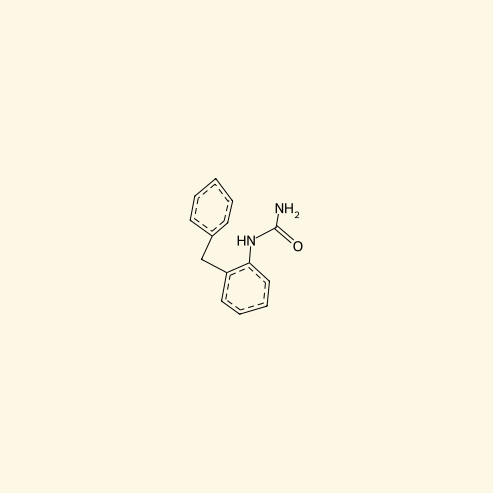 NC(=O)Nc1ccccc1Cc1ccccc1